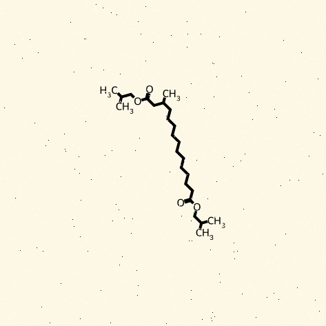 CC(C)COC(=O)CCCCCCCCCCCC(C)CC(=O)OCC(C)C